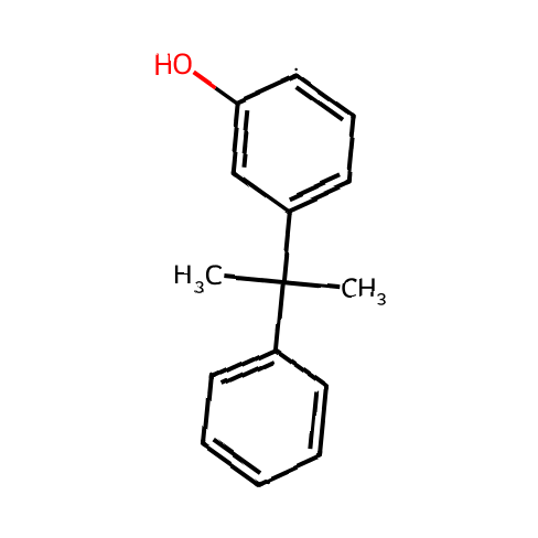 CC(C)(c1ccccc1)c1cc[c]c(O)c1